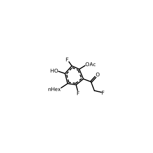 CCCCCCc1c(O)c(F)c(OC(C)=O)c(C(=O)CF)c1F